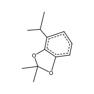 CC(C)c1cccc2c1OC(C)(C)O2